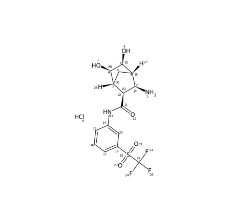 Cl.N[C@@H]1[C@@H]2C[C@@H]([C@@H](O)[C@H]2O)[C@@H]1C(=O)Nc1cccc(S(=O)(=O)C(F)(F)F)c1